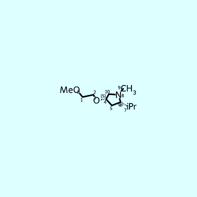 COCCO[C@H]1C[C@@H](C(C)C)N(C)C1